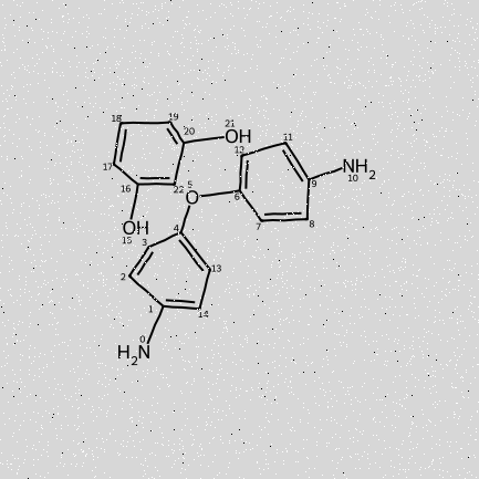 Nc1ccc(Oc2ccc(N)cc2)cc1.Oc1cccc(O)c1